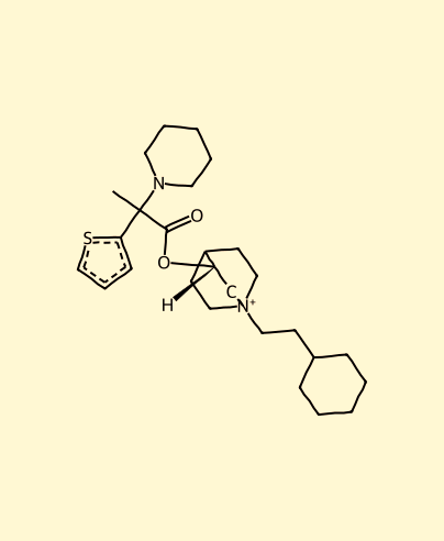 CC(C(=O)O[C@H]1C[N+]2(CCC3CCCCC3)CCC1CC2)(c1cccs1)N1CCCCC1